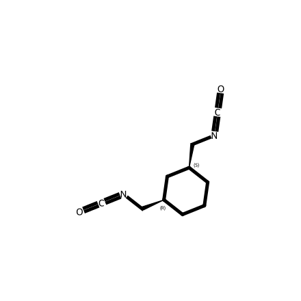 O=C=NC[C@H]1CCC[C@@H](CN=C=O)C1